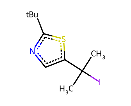 CC(C)(C)c1ncc(C(C)(C)I)s1